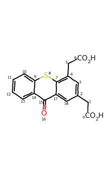 O=C(O)Cc1cc(CC(=O)O)c2sc3ccccc3c(=O)c2c1